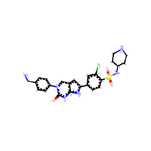 NCc1ccc(-n2cc3cc(-c4ccc(S(=O)(=O)NC5CCNCC5)c(Cl)c4)[nH]c3nc2=O)cc1